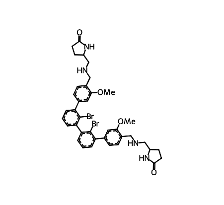 COc1cc(-c2cccc(-c3cccc(-c4ccc(CNCC5CCC(=O)N5)c(OC)c4)c3Br)c2Br)ccc1CNCC1CCC(=O)N1